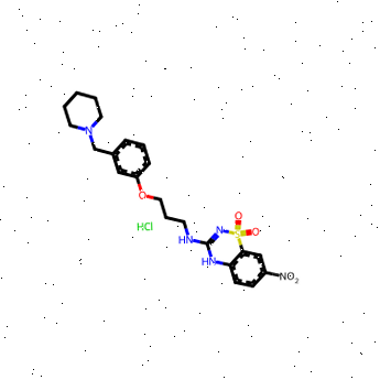 Cl.O=[N+]([O-])c1ccc2c(c1)S(=O)(=O)N=C(NCCCOc1cccc(CN3CCCCC3)c1)N2